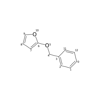 c1ccc(COc2ccco2)cc1